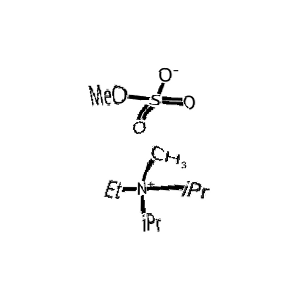 CC[N+](C)(C(C)C)C(C)C.COS(=O)(=O)[O-]